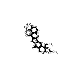 CCC1(OC(C)=O)C(=O)OCc2c1cc1n(c2=O)Cc2c-1nc1ccc(C)c([N+](=O)[O-])c1c2Cl